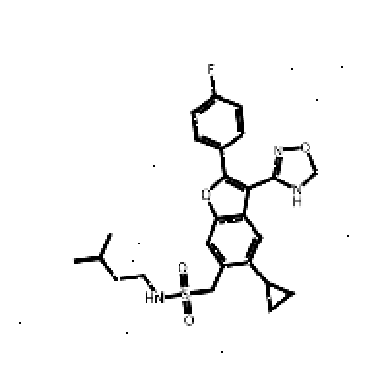 CC(C)CCNS(=O)(=O)Cc1cc2oc(-c3ccc(F)cc3)c(C3=NOCN3)c2cc1C1CC1